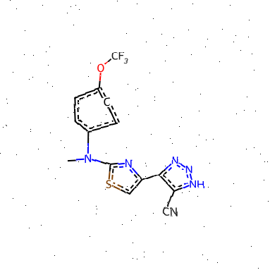 CN(c1ccc(OC(F)(F)F)cc1)c1nc(-c2nn[nH]c2C#N)cs1